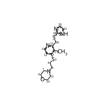 Cc1c(SCCN2CCOCC2)ccnc1CSc1ncc[nH]1